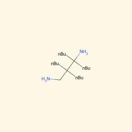 CCCCC(N)(CCCC)C(CN)(CCCC)CCCC